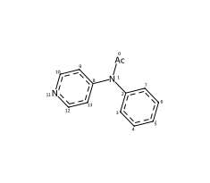 CC(=O)N(c1cc[c]cc1)c1ccncc1